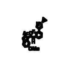 COc1ccn2cc(C(C)=O)c(C(=O)Nc3cccc(-c4cnn(C5CC5)c4)c3F)c2c1